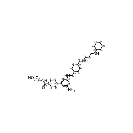 Nc1cc(N2CCN(C(=O)NCC(=O)O)CC2)nc(NCC2CCC(CNCCCNC3CCCCC3)CC2)n1